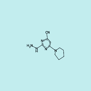 N#Cc1cc(N2CCCCC2)nc(NN)n1